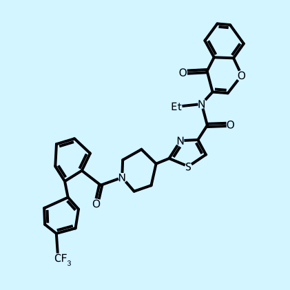 CCN(C(=O)c1csc(C2CCN(C(=O)c3ccccc3-c3ccc(C(F)(F)F)cc3)CC2)n1)c1coc2ccccc2c1=O